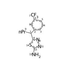 CCCC(c1cccc(C(F)(F)F)c1)c1nnc(N)s1